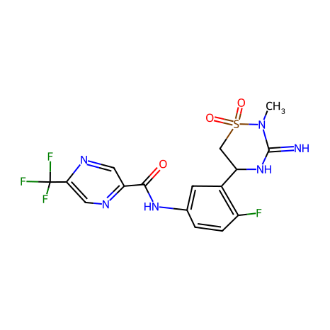 CN1C(=N)NC(c2cc(NC(=O)c3cnc(C(F)(F)F)cn3)ccc2F)CS1(=O)=O